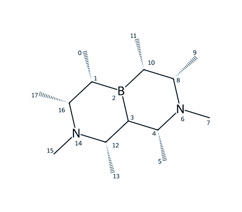 C[C@@H]1B2C([C@@H](C)N(C)[C@@H](C)[C@H]2C)[C@H](C)N(C)[C@@H]1C